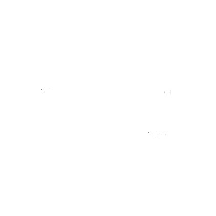 CC(=O)Nc1cc(CCC#N)ccc1O